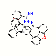 N=C(N/N=C(\Cc1ccc2ccccc2c1)C1=CCCc2oc3cccc(-c4ccc5ccc6ccccc6c5c4)c3c21)c1ccccc1